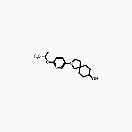 C[C@H](Oc1ccc(N2CCC3(CCC(O)CC3)C2)cn1)C(F)(F)F